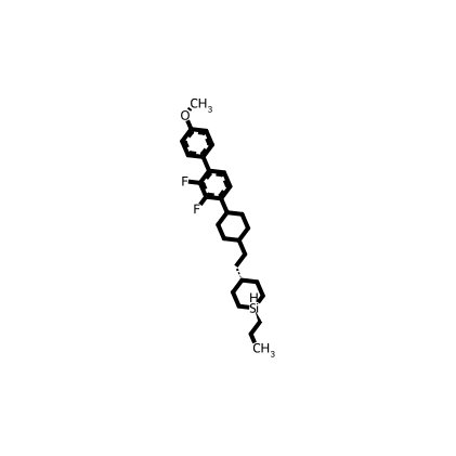 CCC[Si@H]1CC[C@H](CCC2CCC(c3ccc(-c4ccc(OC)cc4)c(F)c3F)CC2)CC1